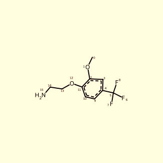 COc1cc(C(F)(F)F)ccc1OCCN